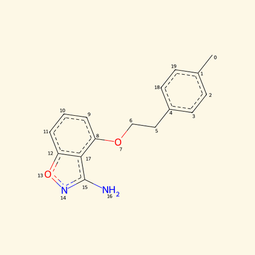 Cc1ccc(CCOc2cccc3onc(N)c23)cc1